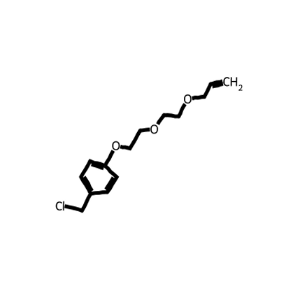 C=CCOCCOCCOc1ccc(CCl)cc1